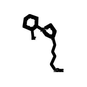 CCCCCCCCCCCCCCn1cc[n+](-c2ccccc2Br)c1